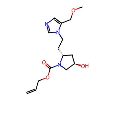 C=CCOC(=O)N1C[C@H](O)C[C@H]1CCn1cncc1COC